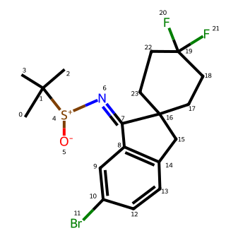 CC(C)(C)[S+]([O-])N=C1c2cc(Br)ccc2CC12CCC(F)(F)CC2